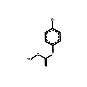 CCc1ccc(OC(=O)OC(C)(C)C)cc1